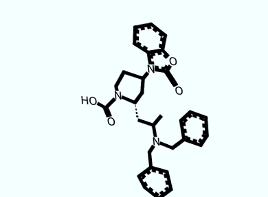 CC(C[C@H]1CC(n2c(=O)oc3ccccc32)CCN1C(=O)O)N(Cc1ccccc1)Cc1ccccc1